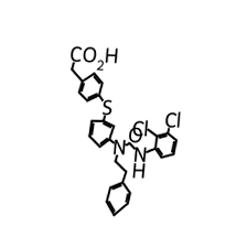 O=C(O)Cc1ccc(Sc2cccc(N(CCc3ccccc3)C(=O)Nc3cccc(Cl)c3Cl)c2)cc1